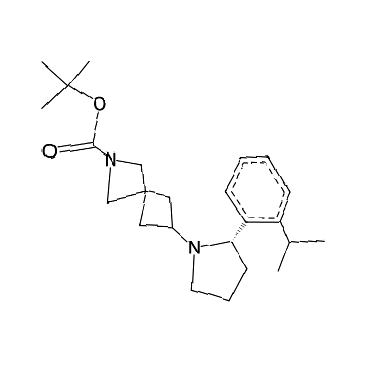 CC(C)c1ccccc1[C@@H]1CCCN1C1CC2(C1)CN(C(=O)OC(C)(C)C)C2